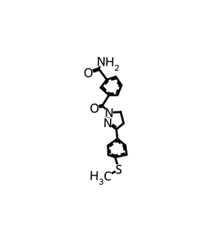 CSc1ccc(C2=NN(C(=O)c3cccc(C(N)=O)c3)CC2)cc1